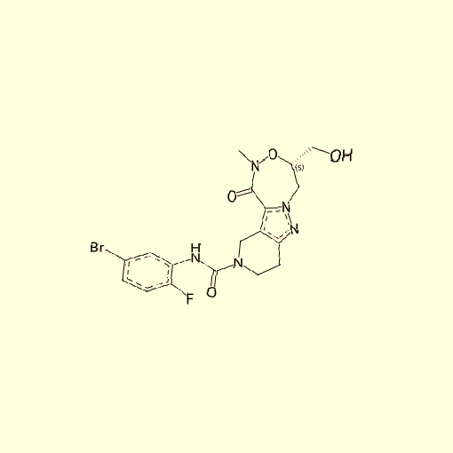 CN1O[C@H](CO)Cn2nc3c(c2C1=O)CN(C(=O)Nc1cc(Br)ccc1F)CC3